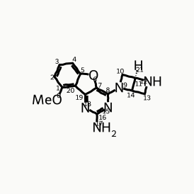 COc1cccc2oc3c(N4C[C@H]5NCC54)nc(N)nc3c12